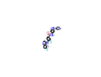 O=C(Nc1ccc(Nc2ccncc2)cc1)c1ccc(Nc2ccnc3ccc(F)cc23)c(F)c1